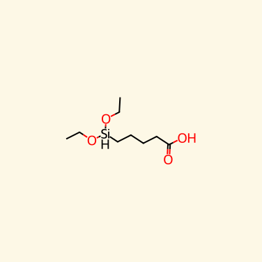 CCO[SiH](CCCCC(=O)O)OCC